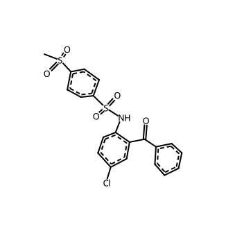 CS(=O)(=O)c1ccc(S(=O)(=O)Nc2ccc(Cl)cc2C(=O)c2ccccc2)cc1